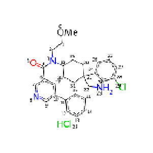 COCCN(C(=O)c1cncc(-c2ccccc2)c1)C1CCC(CN)(c2cccc(Cl)c2)CC1.Cl